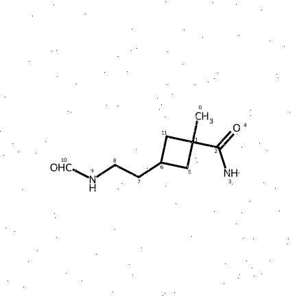 CC1(C([NH])=O)CC(CCNC=O)C1